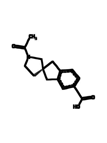 CC(=O)N1CC[C@@]2(Cc3ccc(C(=O)O)cc3C2)C1